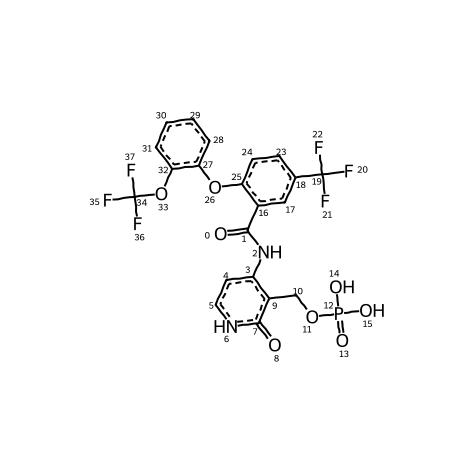 O=C(Nc1cc[nH]c(=O)c1COP(=O)(O)O)c1cc(C(F)(F)F)ccc1Oc1ccccc1OC(F)(F)F